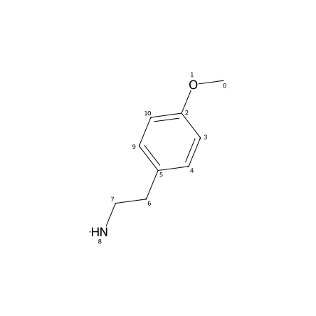 COc1ccc(CC[NH])cc1